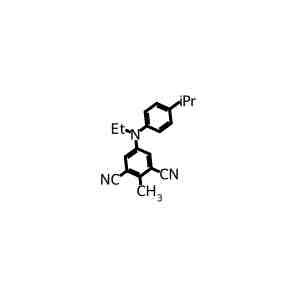 CCN(c1ccc(C(C)C)cc1)c1cc(C#N)c(C)c(C#N)c1